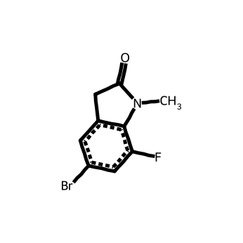 CN1C(=O)Cc2cc(Br)cc(F)c21